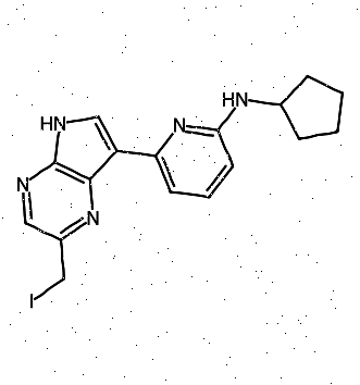 ICc1cnc2[nH]cc(-c3cccc(NC4CCCC4)n3)c2n1